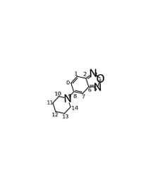 c1cc2nonc2cc1N1CCCCC1